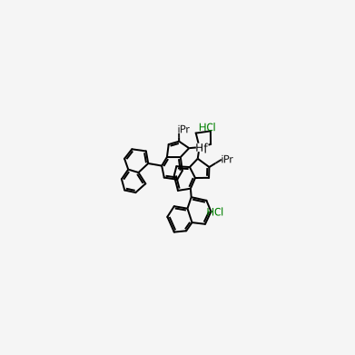 CC(C)C1=Cc2c(-c3cccc4ccccc34)cccc2[CH]1[Hf]1([CH]2C(C(C)C)=Cc3c(-c4cccc5ccccc45)cccc32)[CH2]C[CH2]1.Cl.Cl